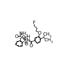 CC(C)c1ccc(C(=O)NS(=O)(=O)c2ccccc2S(N)(=O)=O)cc1OCCCF